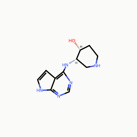 O[C@@H]1CCNC[C@@H]1Nc1ncnc2[nH]ccc12